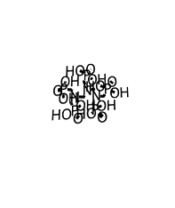 O=P(O)(O)CN(CN(CP(=O)(O)O)CP(=O)(O)O)CN(CP(=O)(O)O)CP(=O)(O)O